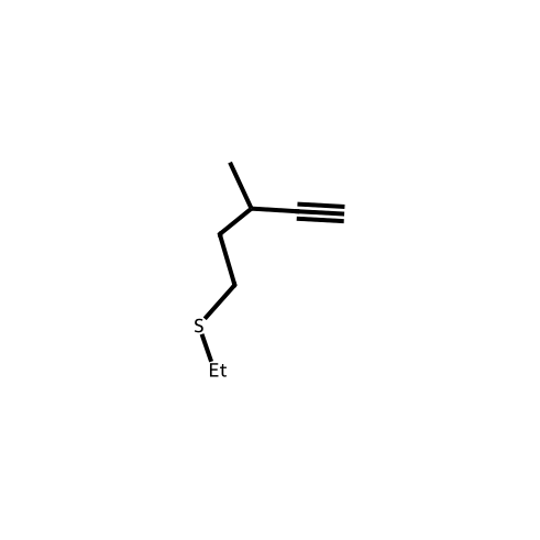 C#CC(C)CCSC[CH2]